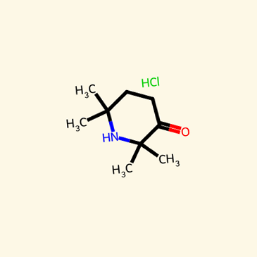 CC1(C)CCC(=O)C(C)(C)N1.Cl